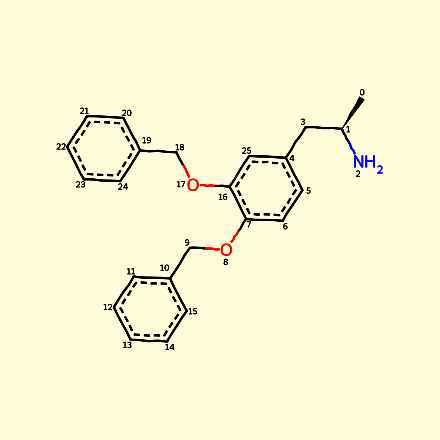 C[C@@H](N)Cc1ccc(OCc2ccccc2)c(OCc2ccccc2)c1